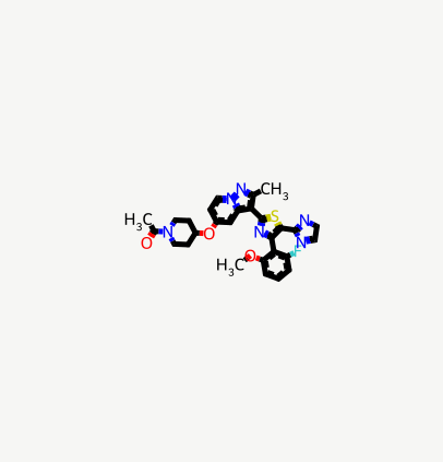 COc1cccc(F)c1-c1nc(-c2c(C)nn3ccc(OC4CCN(C(C)=O)CC4)cc23)sc1C1=NCC=N1